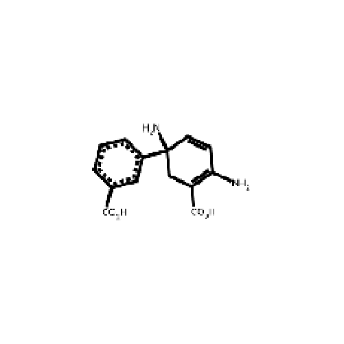 NC1=C(C(=O)O)CC(N)(c2cccc(C(=O)O)c2)C=C1